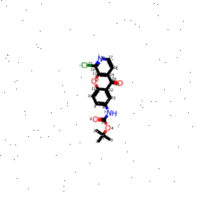 CC(C)(C)OC(=O)Nc1ccc2oc3c(Cl)nccc3c(=O)c2c1